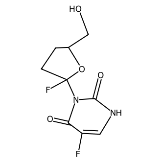 O=c1[nH]cc(F)c(=O)n1C1(F)CCC(CO)O1